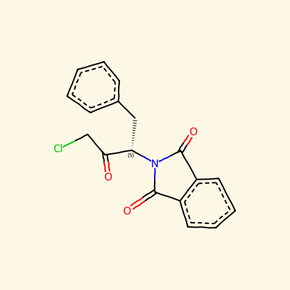 O=C(CCl)[C@H](Cc1ccccc1)N1C(=O)c2ccccc2C1=O